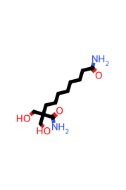 NC(=O)CCCCCCCC(CO)(CO)C(N)=O